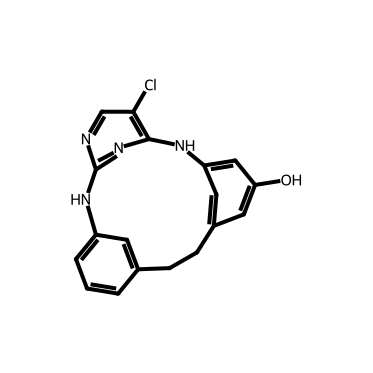 Oc1cc2cc(c1)Nc1nc(ncc1Cl)Nc1cccc(c1)CC2